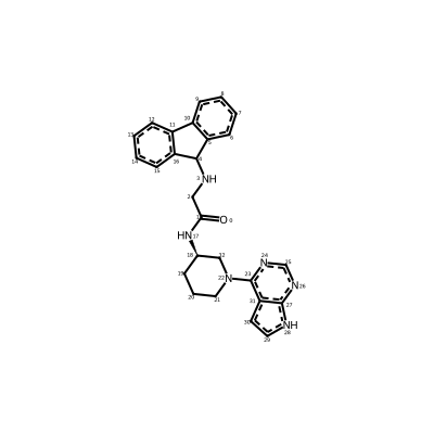 O=C(CNC1c2ccccc2-c2ccccc21)N[C@@H]1CCCN(c2ncnc3[nH]ccc23)C1